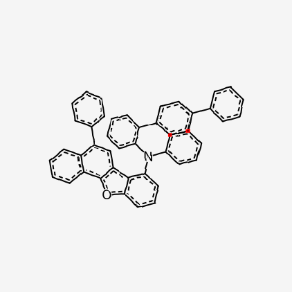 c1ccc(-c2ccc(-c3ccccc3N(c3ccccc3)c3cccc4oc5c6ccccc6c(-c6ccccc6)cc5c34)cc2)cc1